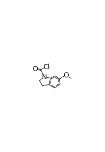 COc1ccc2c(c1)N(C(=O)Cl)CC2